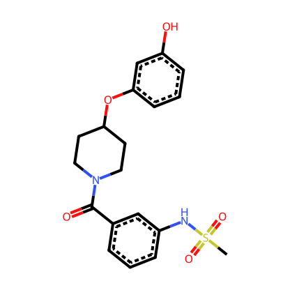 CS(=O)(=O)Nc1cccc(C(=O)N2CCC(Oc3cccc(O)c3)CC2)c1